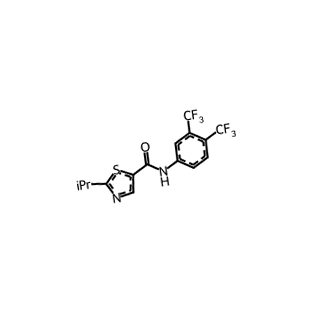 CC(C)c1ncc(C(=O)Nc2ccc(C(F)(F)F)c(C(F)(F)F)c2)s1